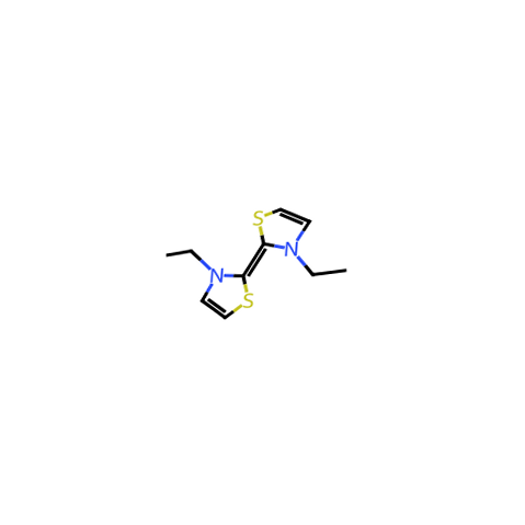 CCN1C=CS/C1=C1/SC=CN1CC